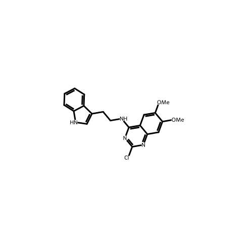 COc1cc2nc(Cl)nc(NCCc3c[nH]c4ccccc34)c2cc1OC